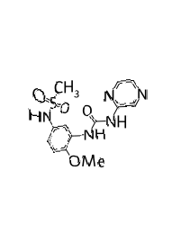 COc1ccc(NS(C)(=O)=O)cc1NC(=O)Nc1cnccn1